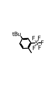 Cc1ccc(C(C)(C)C)cc1S(F)(F)(F)(F)F